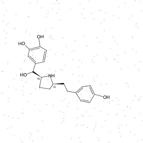 Oc1ccc(CC[C@H]2CC[C@@H](C(O)c3ccc(O)c(O)c3)N2)cc1